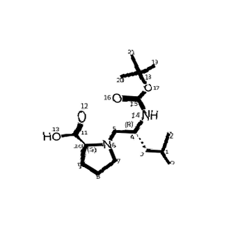 CC(C)C[C@H](CN1CCC[C@H]1C(=O)O)NC(=O)OC(C)(C)C